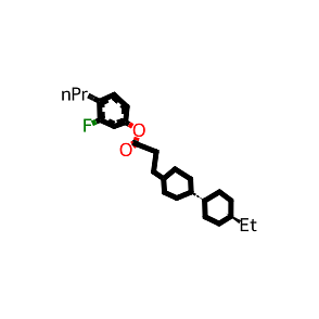 CCCc1ccc(OC(=O)CCC2CCC([C@H]3CC[C@H](CC)CC3)CC2)cc1F